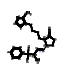 Cn1nnnc1CCCCN1C(=O)CC[C@@H]1/C=C/[C@@H](O)C(F)(F)c1ccccc1